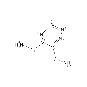 NCc1nnnnc1CN